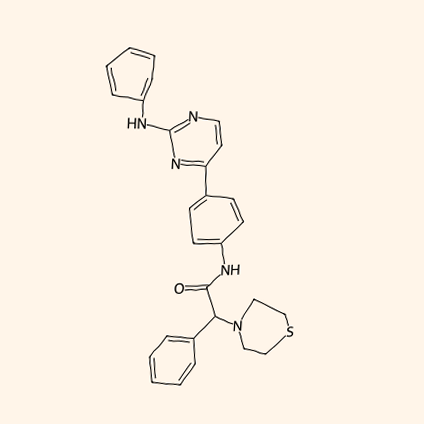 O=C(Nc1ccc(-c2ccnc(Nc3ccccc3)n2)cc1)C(c1ccccc1)N1CCSCC1